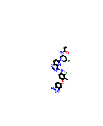 C=CC(=O)N[C@@H]1C[C@H](F)CN(c2ccc3ncnc(Nc4ccc(Oc5ccc6c(c5)nnn6C)c(C)c4F)c3n2)C1